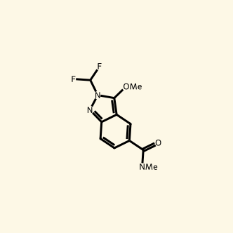 CNC(=O)c1ccc2nn(C(F)F)c(OC)c2c1